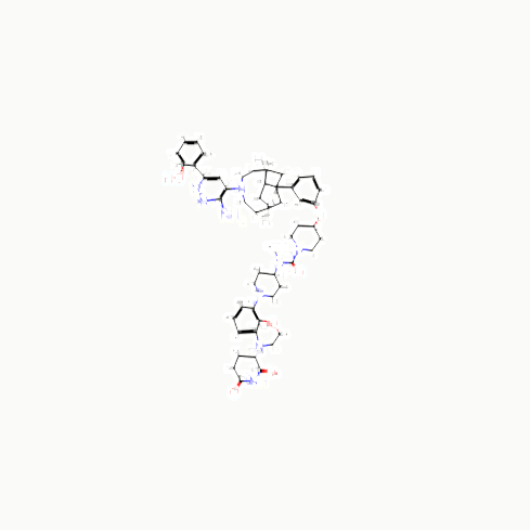 CN(C(=O)N1CCC(Oc2cccc(C34C[C@H]5CCN(c6cc(-c7ccccc7O)nnc6N)CC[C@@H](C3)C4C5)c2)CC1)C1CCN(c2cccc3c2OCCN3[C@H]2CCC(=O)NC2=O)CC1